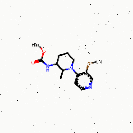 CC1C(NC(=O)OC(C)(C)C)CCCN1c1ccncc1SC#N